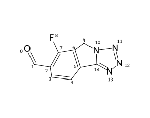 O=Cc1ccc2c(c1F)Cn1nnnc1-2